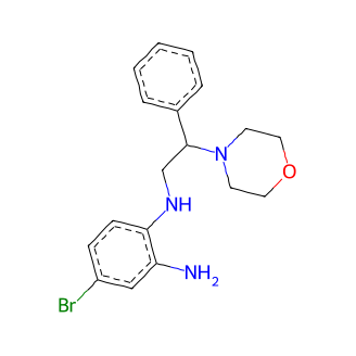 Nc1cc(Br)ccc1NCC(c1ccccc1)N1CCOCC1